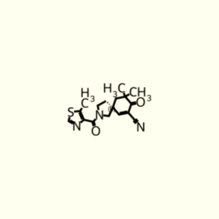 Cc1scnc1C(=O)N1CC[C@]2(C=C(C#N)C(=O)C(C)(C)C2)C1